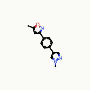 Cc1cc(-c2ccc(-c3cnn(C)c3)cc2)no1